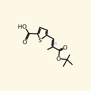 C/C(=C\c1ccc(C(=O)O)s1)C(=O)OC(C)(C)C